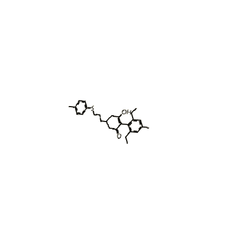 CCc1cc(C)cc(CC)c1C1=C(O)CC(CCCSc2ccc(C)cc2)CC1=O